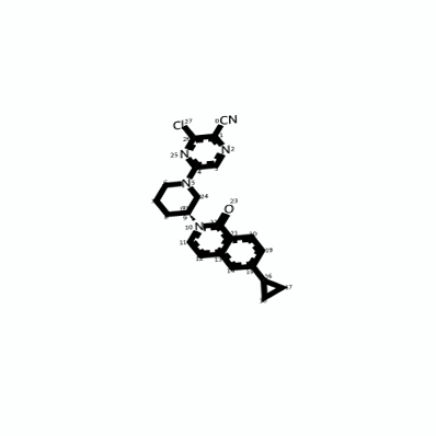 N#Cc1ncc(N2CCC[C@@H](n3ccc4cc(C5CC5)ccc4c3=O)C2)nc1Cl